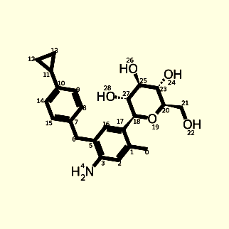 Cc1cc(N)c(Cc2ccc(C3CC3)cc2)cc1[C@@H]1O[C@H](CO)[C@@H](O)[C@H](O)[C@H]1O